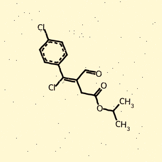 CC(C)OC(=O)C/C(C=O)=C(\Cl)c1ccc(Cl)cc1